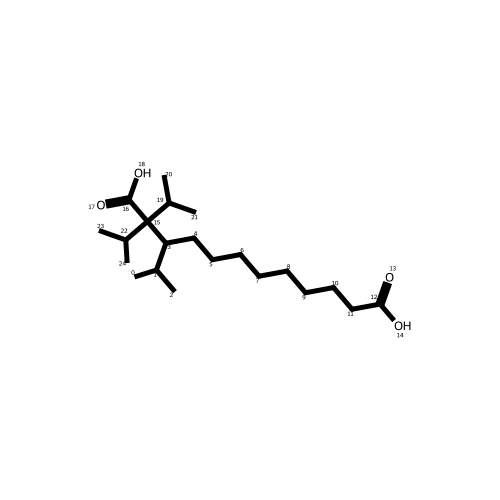 CC(C)C(CCCCCCCCC(=O)O)C(C(=O)O)(C(C)C)C(C)C